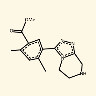 COC(=O)c1cc(-c2nnc3n2CCNC3)c(C)cc1C